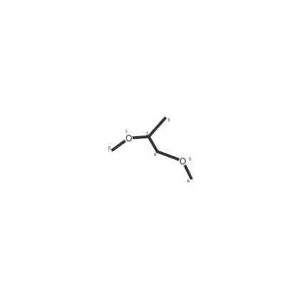 [CH2]OC(C)COC